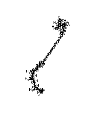 Cc1cc(F)cc(C)c1Oc1ccc(C(C)(C)O)cc1-c1cn(C)c(=O)c2[nH]c(C(=O)Nc3ccc(OCCOCCOCCOCCOCCOCCOCCOCCOCCNC(=O)c4nc(NC(=O)C5CC(NC(=O)c6cc(NC(=O)c7nc(NC(=O)CCNC(=O)c8cc(NC(=O)c9nccn9C)cn8C)cn7C)cn6C)C5)cn4C)cc3)cc12